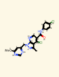 COc1cc(Cn2nc(C)c3c(Cl)c(C(=O)Nc4ccc(Cl)cc4)cnc32)ncn1